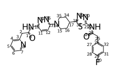 O=C(Cc1ccccn1)Nc1ccc(N2CCC(c3nnc(NC(=O)Cc4ccc(F)cc4)s3)CC2)nn1